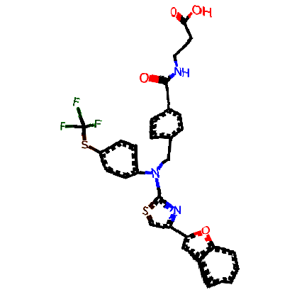 O=C(O)CCNC(=O)c1ccc(CN(c2ccc(SC(F)(F)F)cc2)c2nc(-c3cc4ccccc4o3)cs2)cc1